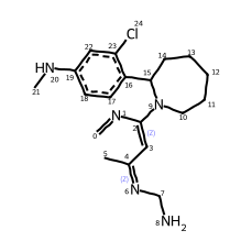 C=N/C(=C\C(C)=N/CN)N1CCCCCC1c1ccc(NC)cc1Cl